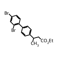 CCOC(=O)CC(C)c1ccc(-c2ccc(Br)cc2Br)cc1